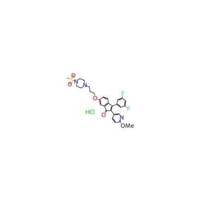 COc1ccc(C2=C(c3cc(F)cc(F)c3)c3ccc(OCCCN4CCN(S(C)(=O)=O)CC4)cc3C2=O)cn1.Cl